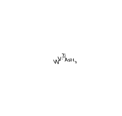 [AsH3].[Ti].[V].[W]